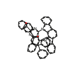 c1ccc(-c2ccc(-c3ccccc3)c(-n3c4ccccc4c4ccc5c6ccccc6n(-c6nc(-c7ccccc7)nc(-c7ccccc7-c7ccccc7)n6)c5c43)c2)cc1